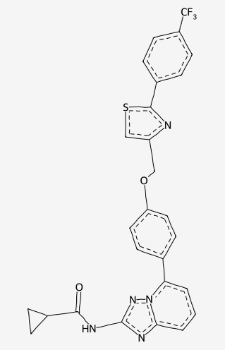 O=C(Nc1nc2cccc(-c3ccc(OCc4csc(-c5ccc(C(F)(F)F)cc5)n4)cc3)n2n1)C1CC1